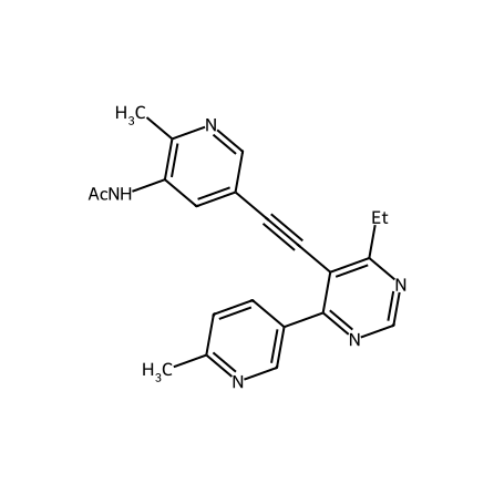 CCc1ncnc(-c2ccc(C)nc2)c1C#Cc1cnc(C)c(NC(C)=O)c1